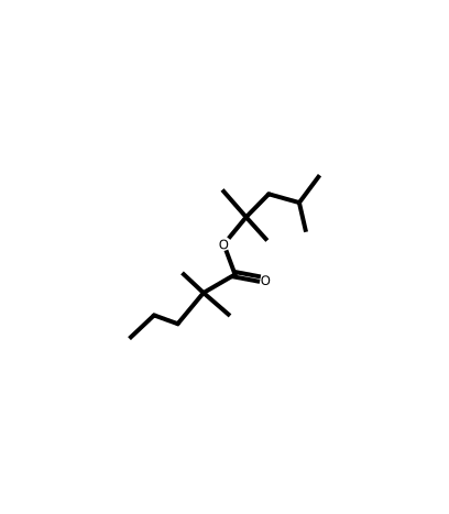 CCCC(C)(C)C(=O)OC(C)(C)CC(C)C